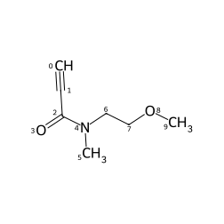 C#CC(=O)N(C)CCOC